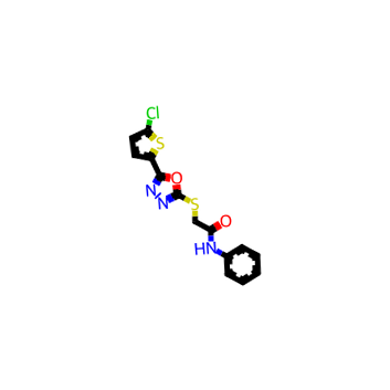 O=C(CSc1nnc(-c2ccc(Cl)s2)o1)Nc1ccccc1